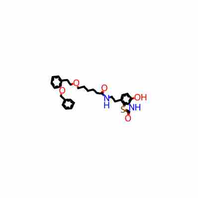 O=C(CCCCCOCCc1ccccc1OCc1ccccc1)NCCc1ccc(O)c2[nH]c(=O)sc12